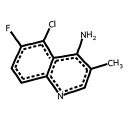 Cc1cnc2ccc(F)c(Cl)c2c1N